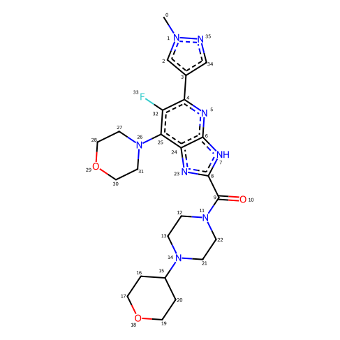 Cn1cc(-c2nc3[nH]c(C(=O)N4CCN(C5CCOCC5)CC4)nc3c(N3CCOCC3)c2F)cn1